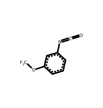 O=C=Nc1cccc(OC(F)(F)F)c1